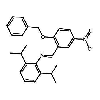 CC(C)c1cccc(C(C)C)c1/N=C/c1cc([N+](=O)[O-])ccc1OCc1ccccc1